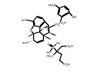 CC(=O)Oc1ccc2c3c1O[C@H]1[C@@H](OC(C)=O)C=C[C@H]4[C@@H](C2)N(C)CC[C@@]341.O=C(O)CCC(CC(=O)O)(C(=O)O)P(=O)(O)O.O=C(O)c1cc(S(=O)(=O)O)ccc1O